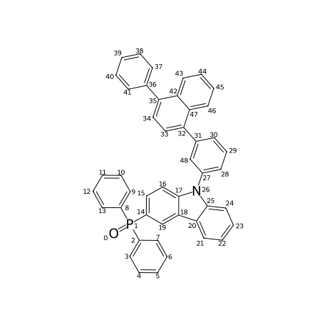 O=P(c1ccccc1)(c1ccccc1)c1ccc2c(c1)c1ccccc1n2-c1cccc(-c2ccc(-c3ccccc3)c3ccccc23)c1